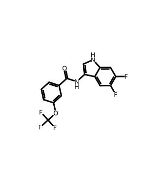 O=C(Nc1c[nH]c2cc(F)c(F)cc12)c1cccc(OC(F)(F)F)c1